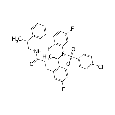 CC(CNC(=O)CCc1cc(F)ccc1[C@@H](C)N(c1cc(F)ccc1F)S(=O)(=O)c1ccc(Cl)cc1)c1ccccc1